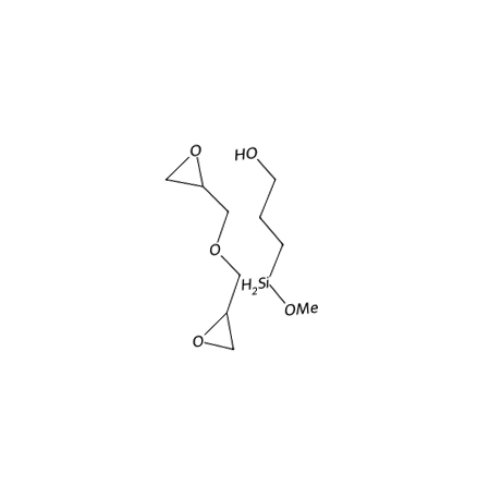 C(OCC1CO1)C1CO1.CO[SiH2]CCCO